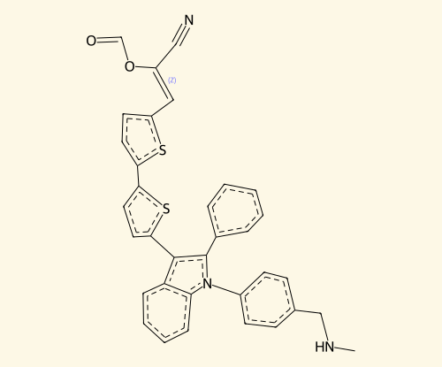 CNCc1ccc(-n2c(-c3ccccc3)c(-c3ccc(-c4ccc(/C=C(/C#N)OC=O)s4)s3)c3ccccc32)cc1